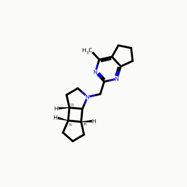 Cc1nc(CN2CC[C@@H]3C2[C@@H]2CCC[C@H]32)nc2c1CCC2